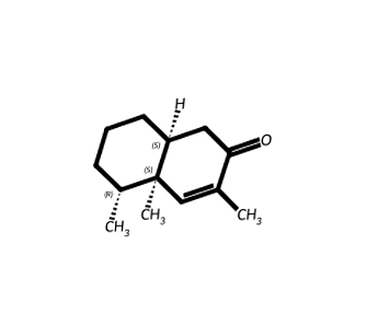 CC1=C[C@]2(C)[C@@H](CCC[C@H]2C)CC1=O